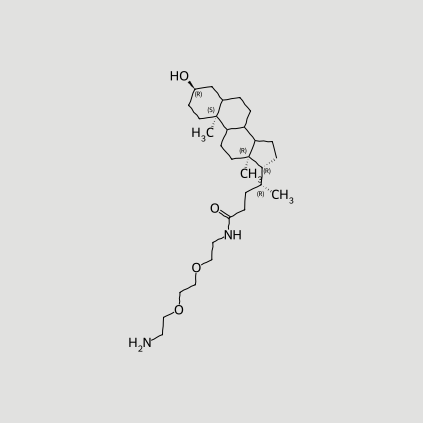 C[C@H](CCC(=O)NCCOCCOCCN)[C@H]1CCC2C3CCC4C[C@H](O)CC[C@]4(C)C3CC[C@@]21C